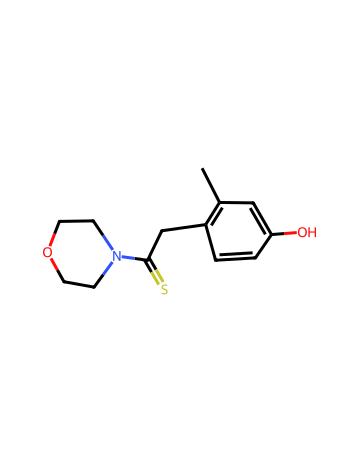 Cc1cc(O)ccc1CC(=S)N1CCOCC1